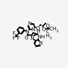 CC1(C)OC[C@H](COc2cncc(N(C(=O)C3C[C@H]4CN3c3cccnc3N4)c3cccc(C(F)(F)F)c3)n2)O1